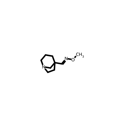 CON=CC12CCCN(CC1)C2